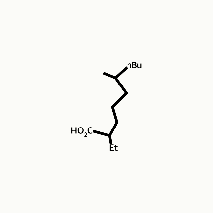 CCCCC(C)CCCC(CC)C(=O)O